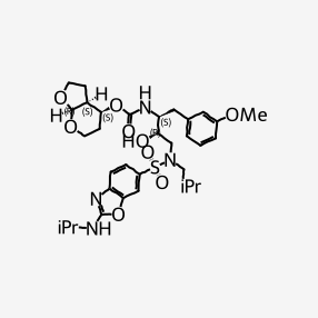 COc1cccc(C[C@H](NC(=O)O[C@H]2CCO[C@H]3OCC[C@H]32)[C@H](O)CN(CC(C)C)S(=O)(=O)c2ccc3nc(NC(C)C)oc3c2)c1